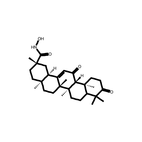 CC1(C)C(=O)CC[C@@]2(C)C1CC[C@]1(C)[C@@H]2C(=O)C=C2[C@@H]3C[C@@](C)(C(=O)NO)CC[C@]3(C)CC[C@]21C